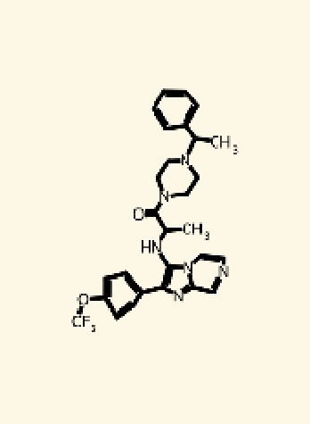 CC(Nc1c(-c2ccc(OC(F)(F)F)cc2)nc2cnccn12)C(=O)N1CCN(C(C)c2ccccc2)CC1